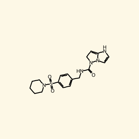 O=C(NCc1ccc(S(=O)(=O)N2CCCCC2)cc1)N1CC=C2NC=CN21